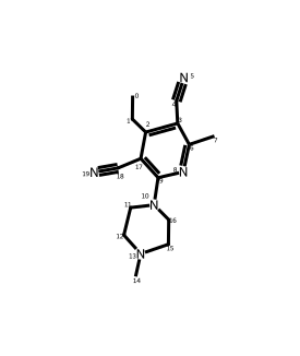 CCc1c(C#N)c(C)nc(N2CCN(C)CC2)c1C#N